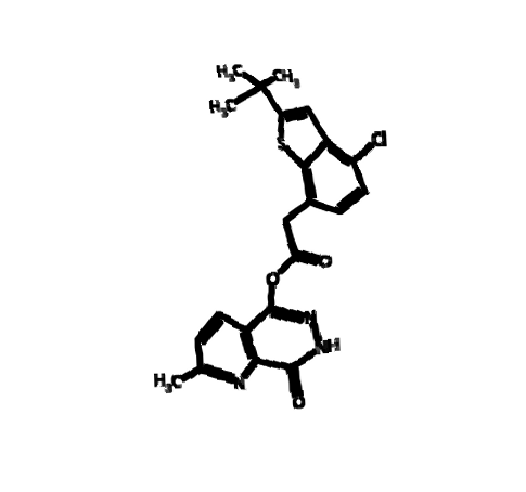 Cc1ccc2c(OC(=O)Cc3ccc(Cl)c4cc(C(C)(C)C)sc34)n[nH]c(=O)c2n1